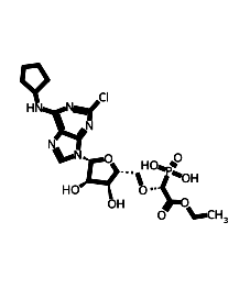 CCOC(=O)[C@H](OC[C@H]1O[C@@H](n2cnc3c(NC4CCCC4)nc(Cl)nc32)[C@H](O)[C@@H]1O)P(=O)(O)O